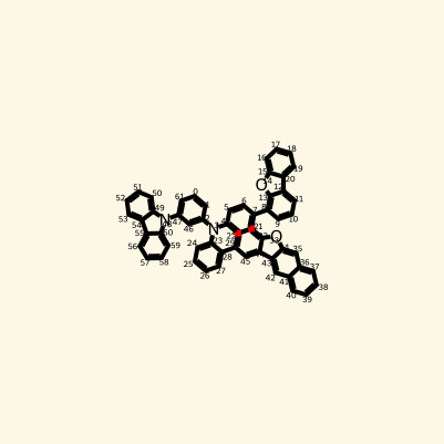 c1cc(N(c2ccc(-c3cccc4c3oc3ccccc34)cc2)c2ccccc2-c2ccc3oc4cc5ccccc5cc4c3c2)cc(-n2c3ccccc3c3ccccc32)c1